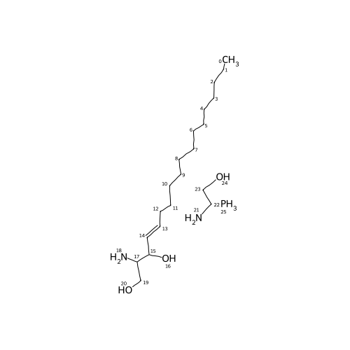 CCCCCCCCCCCCC/C=C/C(O)C(N)CO.NCCO.P